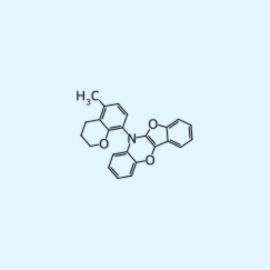 Cc1ccc(N2c3ccccc3Oc3c2oc2ccccc32)c2c1CCCO2